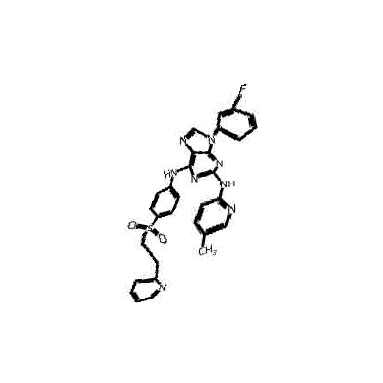 Cc1ccc(Nc2nc(Nc3ccc(S(=O)(=O)CCc4ccccn4)cc3)c3ncn(-c4cccc(F)c4)c3n2)nc1